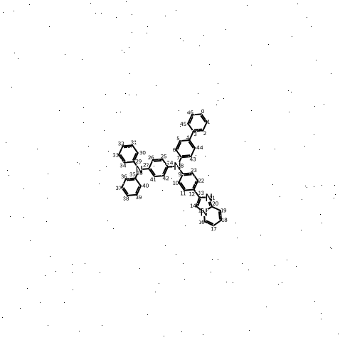 c1ccc(-c2ccc(N(c3ccc(-c4cn5ccccc5n4)cc3)c3ccc(N(c4ccccc4)c4ccccc4)cc3)cc2)cc1